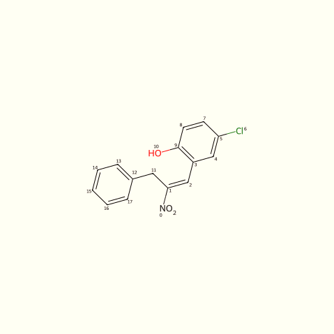 O=[N+]([O-])C(=Cc1cc(Cl)ccc1O)Cc1ccccc1